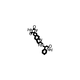 CN1C(=O)NC(=O)C12Cc1cc3ccc(CNC4CC(=O)Nc5ccccc54)nc3cc1C2